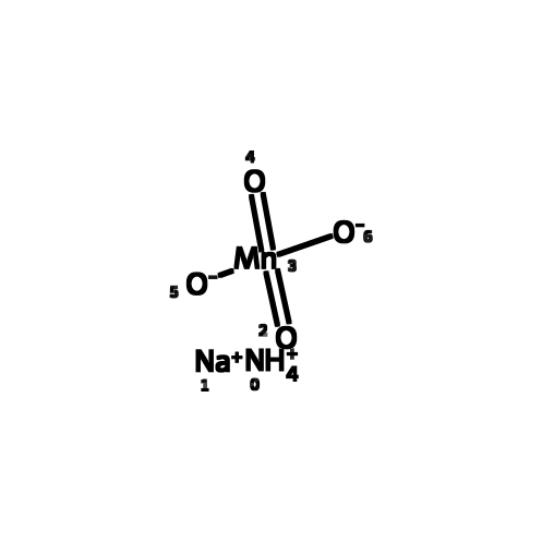 [NH4+].[Na+].[O]=[Mn](=[O])([O-])[O-]